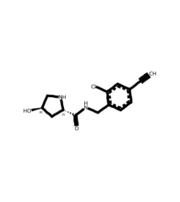 C#Cc1ccc(CNC(=O)[C@@H]2C[C@@H](O)CN2)c(Cl)c1